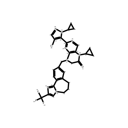 O=C1CN(Cc2ccc3c(c2)CCCn2cc(C(F)(F)F)nc2-3)c2nc(-c3c(Cl)cnn3C3CC3)ncc2N1C1CC1